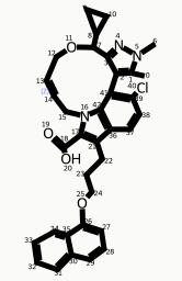 Cc1c2c(nn1C)C(C1CC1)OC/C=C\Cn1c(C(=O)O)c(CCCOc3cccc4ccccc34)c3ccc(Cl)c-2c31